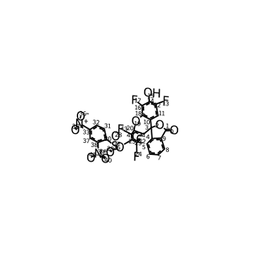 O=C1OC2(c3ccccc31)c1cc(F)c(O)c(F)c1Oc1c2cc(F)c(OS(=O)(=O)c2ccc([N+](=O)[O-])cc2[N+](=O)[O-])c1F